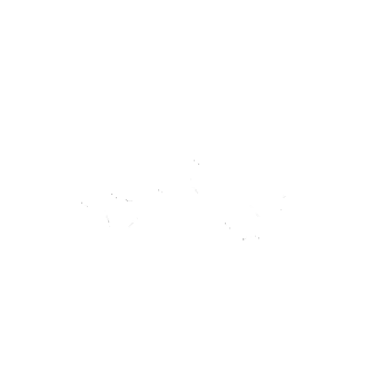 Cc1ncc(C(CCCN2C(=O)C(NCc3ccc4c(n3)NCCC4)CC2C)CC(=O)O)cn1